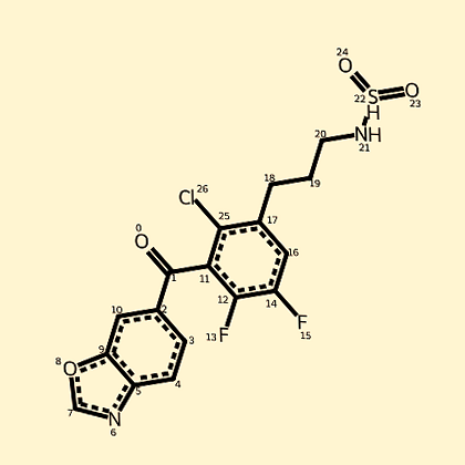 O=C(c1ccc2ncoc2c1)c1c(F)c(F)cc(CCCN[SH](=O)=O)c1Cl